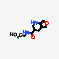 O=C(O)CNC(=O)C1CNc2cocc2C1